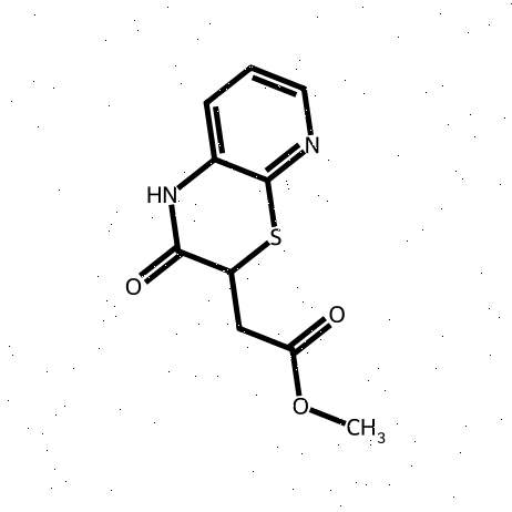 COC(=O)CC1Sc2ncccc2NC1=O